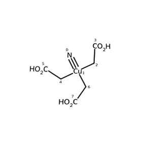 [N]#[Cu]([CH2]C(=O)O)([CH2]C(=O)O)[CH2]C(=O)O